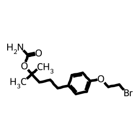 CC(C)(CCCc1ccc(OCCBr)cc1)OC(N)=O